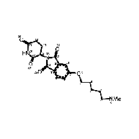 CNCCCCCOc1ccc2c(c1)C(=O)N(C1CCC(=O)NC1=O)C2=O